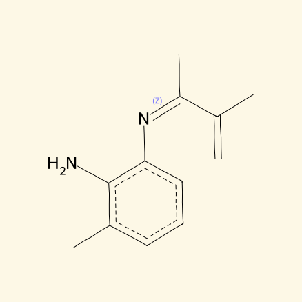 C=C(C)/C(C)=N\c1cccc(C)c1N